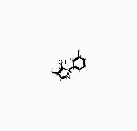 Cc1cccc(-n2ncc(C)c2O)c1